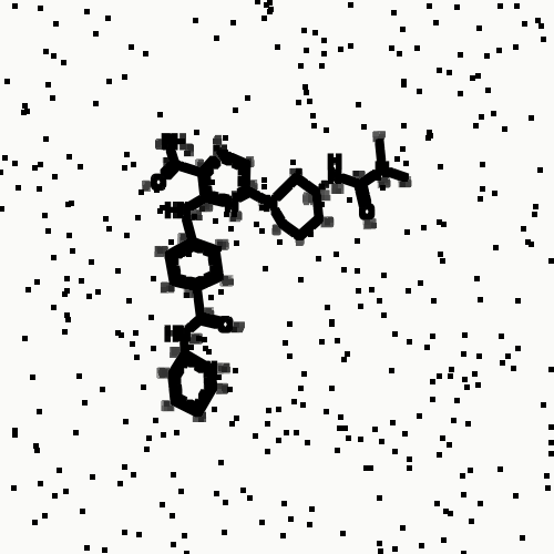 BC(=O)c1ncc(N2CCC[C@@H](NC(=O)N(C)C)C2)nc1Nc1ccc(C(=O)Nc2ccccn2)cc1